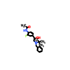 CC(=O)Nc1ccc(C(O)CN(Cc2ccccc2)C(C)(C)C)cc1F